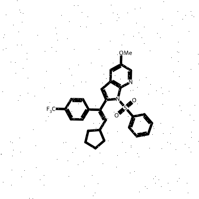 COc1cnc2c(c1)cc(/C(=C/C1CCCC1)c1ccc(C(F)(F)F)cc1)n2S(=O)(=O)c1ccccc1